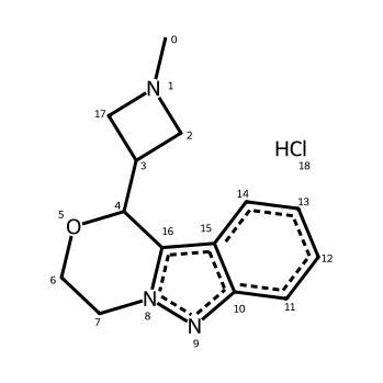 CN1CC(C2OCCn3nc4ccccc4c32)C1.Cl